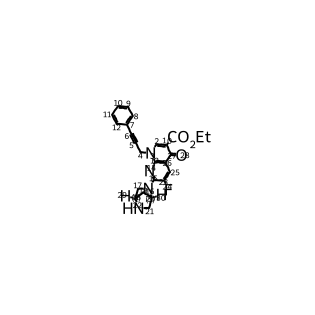 CCOC(=O)c1cn(CC#Cc2ccccc2)c2nc(N3C[C@@H]4C[C@H]3CN4)c(F)cc2c1=O